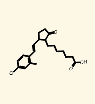 Cc1cc(Cl)ccc1/C=C/C1CCC(=O)C1CCCCCCC(=O)O